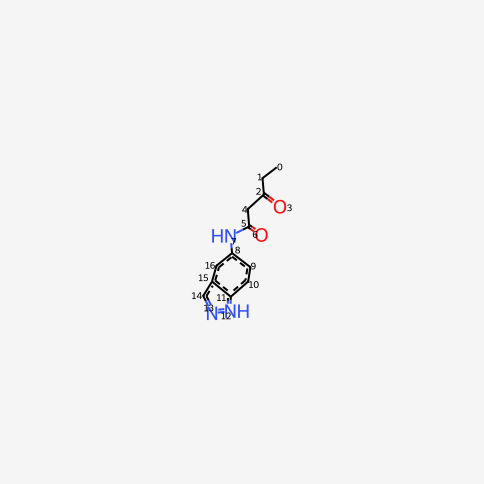 CCC(=O)CC(=O)Nc1ccc2[nH]ncc2c1